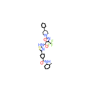 Cc1ccccc1NC(=O)c1ccc(-c2csc(NC(=O)c3oc(N4CCC(c5ccccc5)CC4)nc3C(F)(F)F)n2)cc1